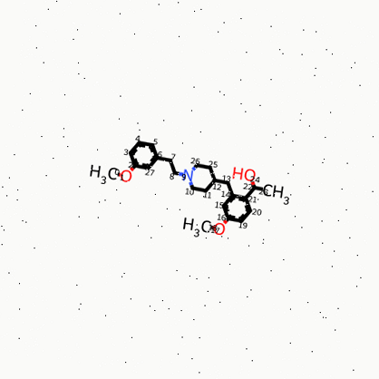 COc1cccc(CCN2CCC(Cc3cc(OC)ccc3C(C)O)CC2)c1